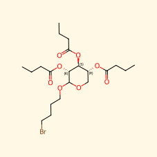 CCCC(=O)O[C@H]1[C@H](OC(=O)CCC)COC(OCCCCBr)[C@@H]1OC(=O)CCC